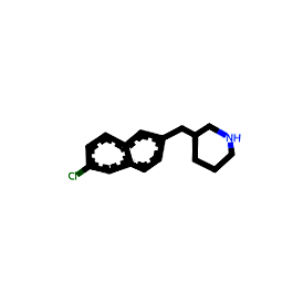 Clc1ccc2cc(CC3CCCNC3)ccc2c1